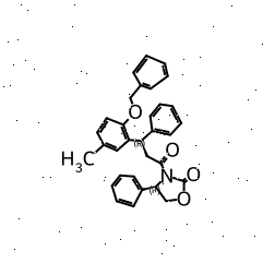 Cc1ccc(OCc2ccccc2)c([C@H](CC(=O)N2C(=O)OC[C@H]2c2ccccc2)c2ccccc2)c1